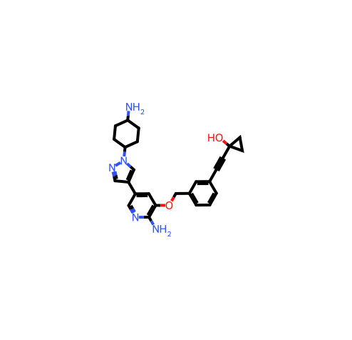 Nc1ncc(-c2cnn(C3CCC(N)CC3)c2)cc1OCc1cccc(C#CC2(O)CC2)c1